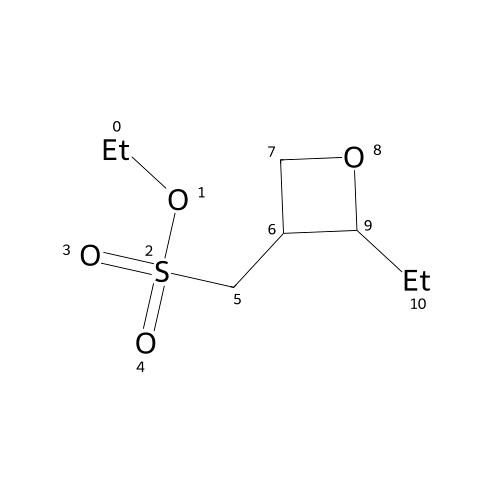 CCOS(=O)(=O)CC1COC1CC